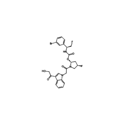 O=C(N[C@H](CF)c1cccc(Br)c1)O[C@H]1C[C@@H](F)CN1C(=O)Cn1cc(C(=O)CO)c2ccccc21